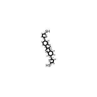 Sc1ccc(-c2ccc3c(c2)sc2c4ccc(-c5ccc(S)s5)cc4sc32)s1